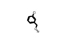 [N]OCc1cccc(Cl)c1